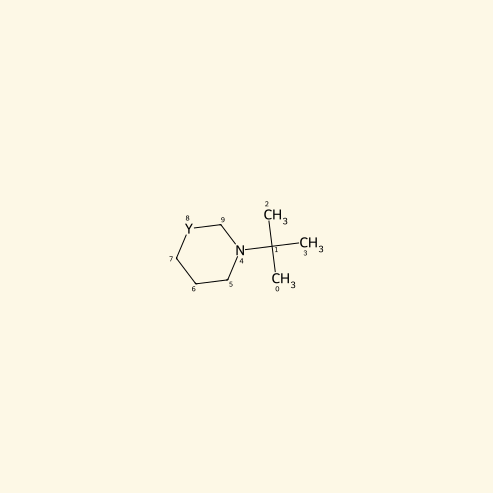 CC(C)(C)N1CC[CH2][Y][CH2]1